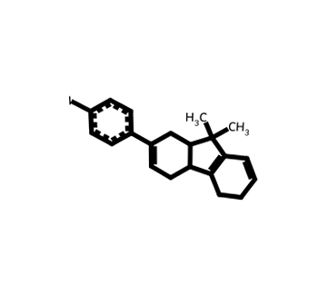 CC1(C)C2=C(CCC=C2)C2CC=C(c3ccc(I)cc3)CC21